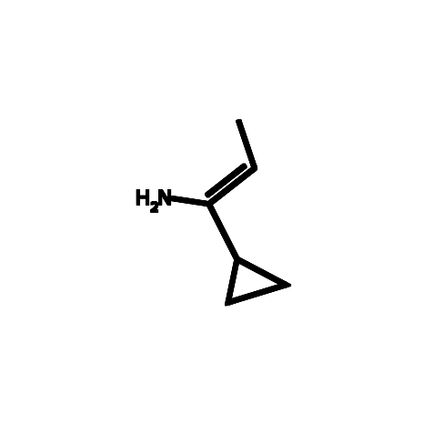 CC=C(N)C1CC1